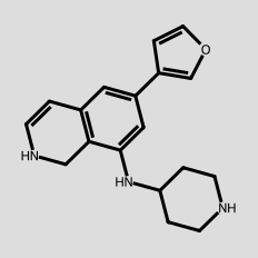 C1=Cc2cc(-c3ccoc3)cc(NC3CCNCC3)c2CN1